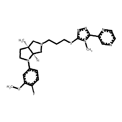 COc1cc(N2CC[C@@]3(C)CN(CCCSc4nnc(-c5cnccn5)n4C)C[C@@H]23)ccc1F